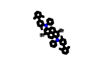 Cc1ccc(-c2c(C)cccc2C)cc1N(c1ccccc1)c1cc(C(C)C)c2ccc3c(N(c4ccccc4)c4cc(-c5c(C)cccc5C)ccc4C)cc(C(C)C)c4ccc1c2c43